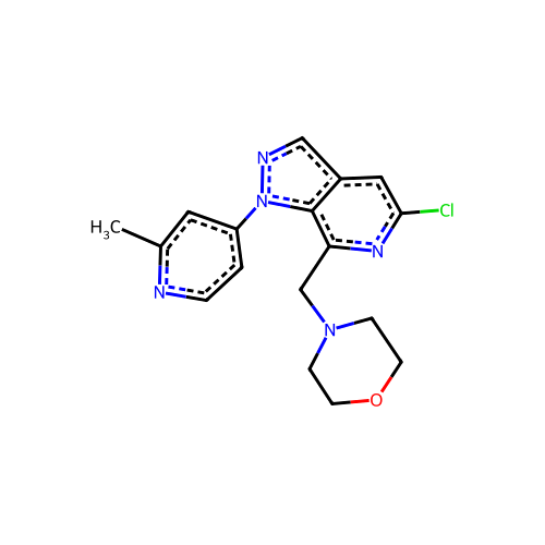 Cc1cc(-n2ncc3cc(Cl)nc(CN4CCOCC4)c32)ccn1